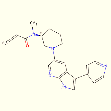 C=CC(=O)N(C)[C@H]1CCCN(c2cnc3[nH]cc(-c4ccncc4)c3c2)C1